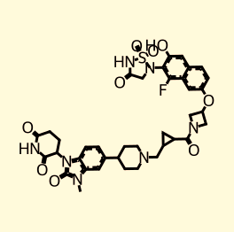 Cn1c(=O)n(C2CCC(=O)NC2=O)c2ccc(C3CCN(CC4CC4C(=O)N4CC(Oc5ccc6cc(O)c(N7CC(=O)NS7(=O)=O)c(F)c6c5)C4)CC3)cc21